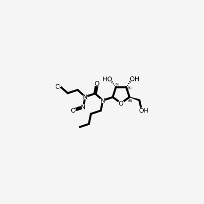 CCCCN(C(=O)N(CCCl)N=O)C1O[C@H](CO)[C@@H](O)[C@H]1O